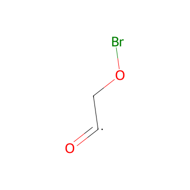 O=[C]COBr